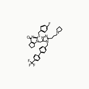 O=c1nc(SCc2ccc(F)cc2)n(Cc2nnc(CCCN3CCCC3)n2Cc2ccc(-c3ccc(C(F)(F)F)cc3)cc2)c2c1CCC2